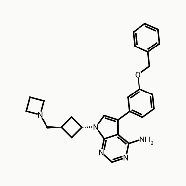 Nc1ncnc2c1c(-c1cccc(OCc3ccccc3)c1)cn2[C@H]1C[C@H](CN2CCC2)C1